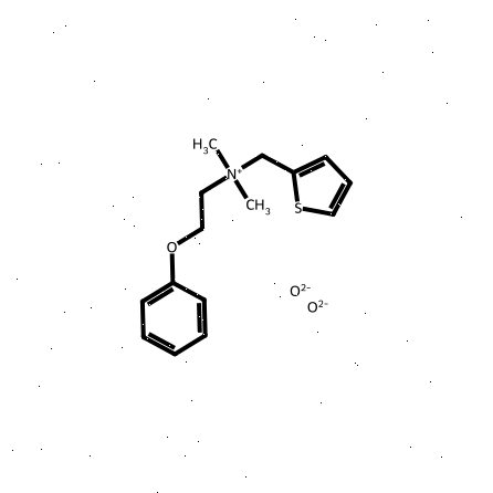 C[N+](C)(CCOc1ccccc1)Cc1cccs1.[O-2].[O-2]